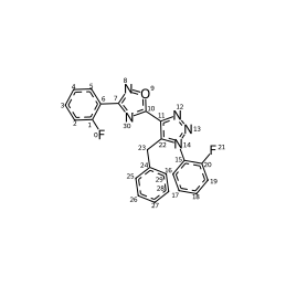 Fc1ccccc1-c1noc(-c2nnn(-c3ccccc3F)c2Cc2ccccc2)n1